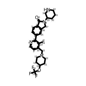 O=C1c2ccc(-c3nccc(CN4CCC(OC(F)(F)F)CC4)c3F)cc2CN1C1CCCNC1